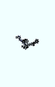 CC/C=C\C/C=C\C=C\C(/C=C/C=C/C(C)C(CCCCCC(=O)OCc1ccccc1)OP)OP(P)P